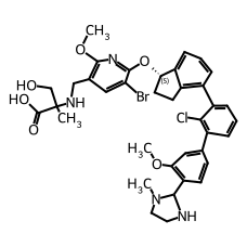 COc1cc(-c2cccc(-c3cccc4c3CC[C@@H]4Oc3nc(OC)c(CNC(C)(CO)C(=O)O)cc3Br)c2Cl)ccc1C1NCCN1C